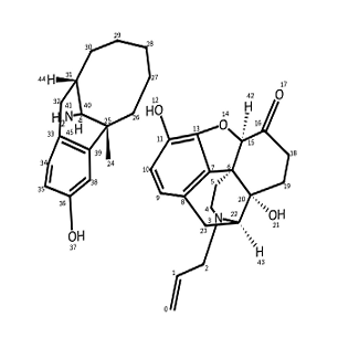 C=CCN1CC[C@]23c4c5ccc(O)c4O[C@H]2C(=O)CC[C@@]3(O)[C@H]1C5.C[C@@]12CCCCC[C@@H](Cc3ccc(O)cc31)[C@@H]2N